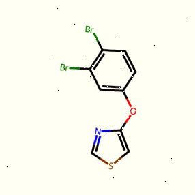 Brc1ccc(Oc2cs[c]n2)cc1Br